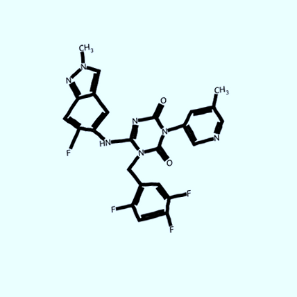 Cc1cncc(-n2c(=O)nc(Nc3cc4cn(C)nc4cc3F)n(Cc3cc(F)c(F)cc3F)c2=O)c1